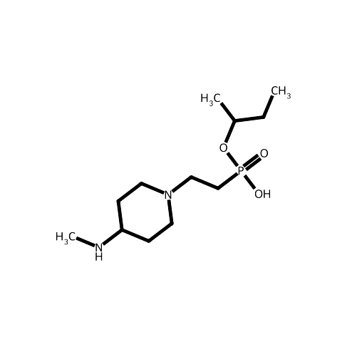 CCC(C)OP(=O)(O)CCN1CCC(NC)CC1